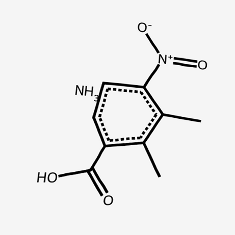 Cc1c(C(=O)O)ccc([N+](=O)[O-])c1C.N